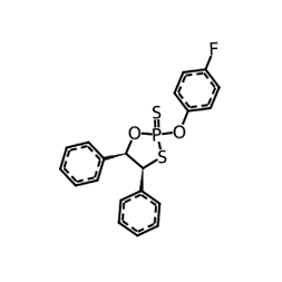 Fc1ccc(OP2(=S)O[C@H](c3ccccc3)[C@H](c3ccccc3)S2)cc1